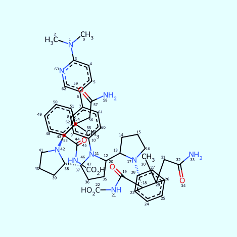 CN(C)c1ccc(-c2ccc(N3C(C4CCCN4[C@@]4(C(=O)NC(=O)O)c5ccc(cc5)C4(C)CC(N)=O)CC[C@@H]3C3CCCN3[C@@]3(C(=O)NC(=O)O)c4ccc(cc4)C3(C)CC(N)=O)cc2)cn1